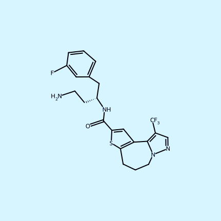 NCC[C@H](Cc1cccc(F)c1)NC(=O)c1cc2c(s1)CCCn1ncc(C(F)(F)F)c1-2